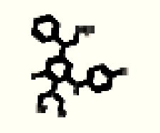 CC(C)CN(CC(C)C)c1c(F)cc(C(CC(=O)O)c2ccccc2)cc1Nc1ccc(Cl)cc1